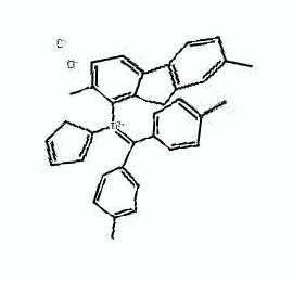 Cc1ccc([C](c2ccc(C)cc2)=[Ti+2]([C]2=CC=CC2)[c]2c(C)ccc3c2Cc2cc(C)ccc2-3)cc1.[Cl-].[Cl-]